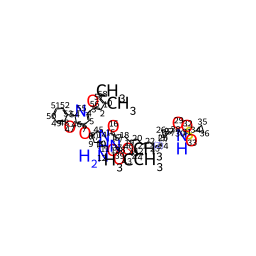 Cc1cc(-c2cc(O[C@@H]3C[C@@H](C(N)=O)N(C(=O)[C@H](CCCCC/C=C\[C@@H]4C[C@@H]4C(=O)NS(=O)(=O)C4CC4)NC(=O)OC(C)(C)C)C3)c3oc4ccccc4c3n2)oc1C